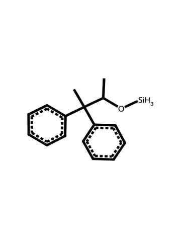 CC(O[SiH3])C(C)(c1ccccc1)c1ccccc1